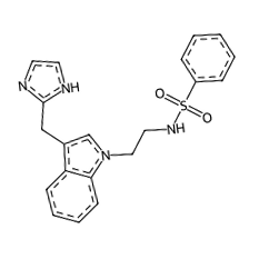 O=S(=O)(NCCn1cc(Cc2ncc[nH]2)c2ccccc21)c1ccccc1